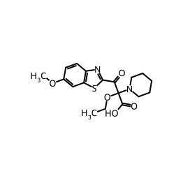 CCOC(C(=O)O)(C(=O)c1nc2ccc(OC)cc2s1)N1CCCCC1